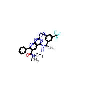 Cc1nc(N[C@H](C)c2cc(N)cc(C(F)(F)F)c2)c2cc(C(=O)N(C)C)c(-c3ccccc3)nc2n1